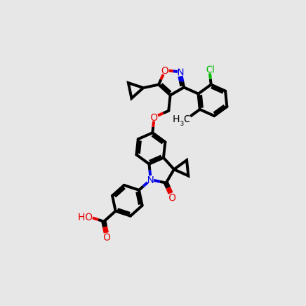 Cc1cccc(Cl)c1-c1noc(C2CC2)c1COc1ccc2c(c1)C1(CC1)C(=O)N2c1ccc(C(=O)O)cc1